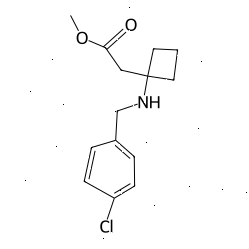 COC(=O)CC1(NCc2ccc(Cl)cc2)CCC1